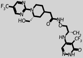 C[C@@H](CONC(=O)CC1CCN(c2ncc(C(F)(F)F)cn2)[C@@H](CO)C1)Nc1cn[nH]c(=O)c1C(F)(F)F